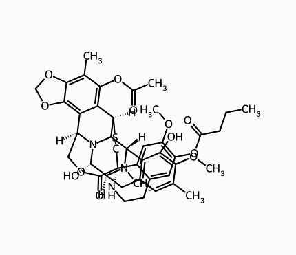 CCCC(=O)Oc1cc2c(cc1OC)[C@@]1(CS[C@@H]3c4c(OC(C)=O)c(C)c5c(c4[C@H](COC1=O)N1C3[C@@H]3c4c(cc(C)c(OC)c4O)C[C@@H]([C@@H]1O)N3C)OCO5)NCC2